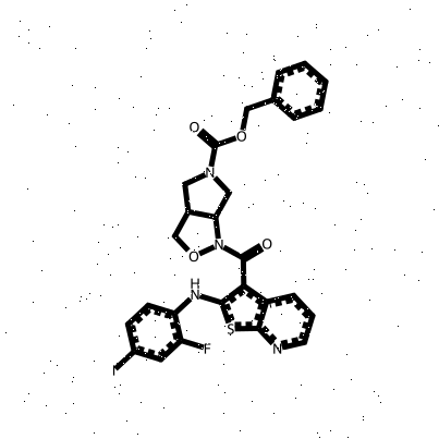 O=C(OCc1ccccc1)N1CC2CON(C(=O)c3c(Nc4ccc(I)cc4F)sc4ncccc34)C2C1